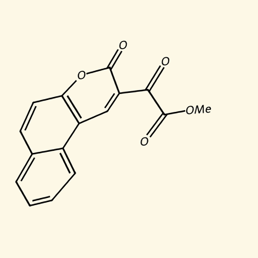 COC(=O)C(=O)c1cc2c(ccc3ccccc32)oc1=O